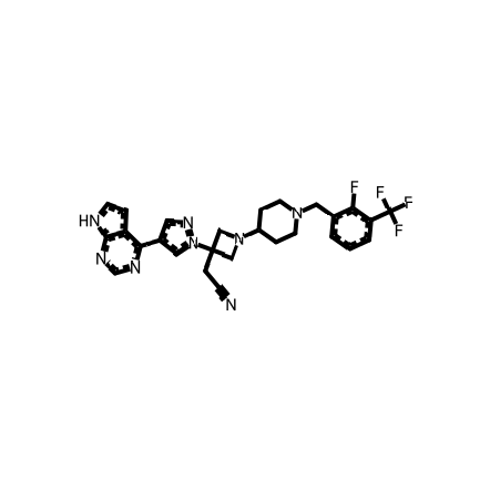 N#CCC1(n2cc(-c3ncnc4[nH]ccc34)cn2)CN(C2CCN(Cc3cccc(C(F)(F)F)c3F)CC2)C1